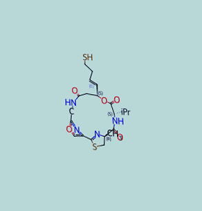 CC(C)[C@@H]1NC(=O)[C@]2(C)CSC(=N2)c2coc(n2)CNC(=O)C[C@@H](/C=C/CCS)OC1=O